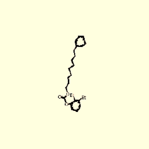 CCc1cccc(OC(=O)OCCCCCCCCCc2ccccc2)c1CC